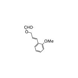 COc1ccccc1C=CCO[C]=O